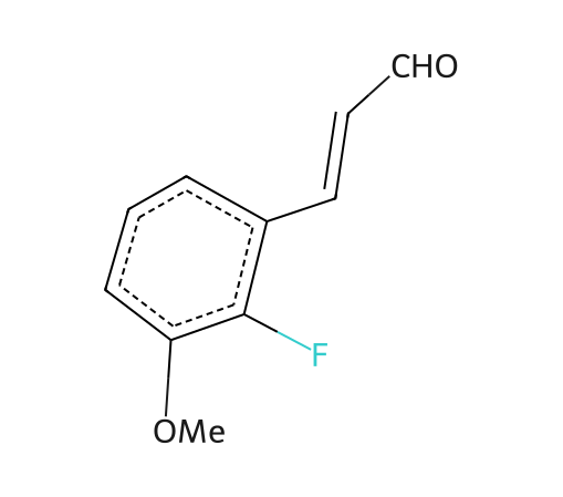 COc1cccc(/C=C/C=O)c1F